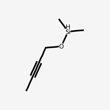 CC#CCO[SiH](C)C